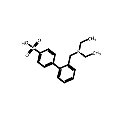 CCN(CC)Cc1ccccc1-c1ccc(S(=O)(=O)O)cc1